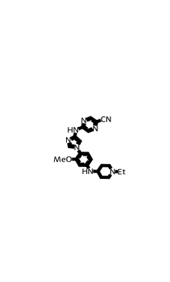 CCN1CCC(Nc2ccc(-n3cnc(Nc4cnc(C#N)cn4)c3)c(OC)c2)CC1